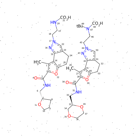 Cc1c(C(=O)NC[C@@H]2CCCO2)oc2c1-c1nn(CCNC(=O)O)cc1CC2.Cc1c(C(=O)NC[C@@H]2COCCO2)oc2c1-c1nn(CCN(C(=O)O)C(C)(C)C)cc1CC2